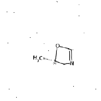 C[C@H]1CN=[C]O1